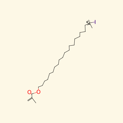 C=C(C)C(=O)OCCCCCCCCCCCCCCCCCCC[Si](C)(C)I